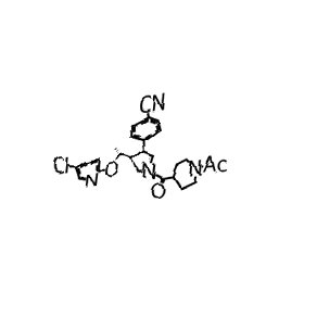 CC(=O)N1CCC(C(=O)N2C[C@@H]([C@@H](C)Oc3ccc(Cl)cn3)[C@@H](c3ccc(C#N)cc3)C2)CC1